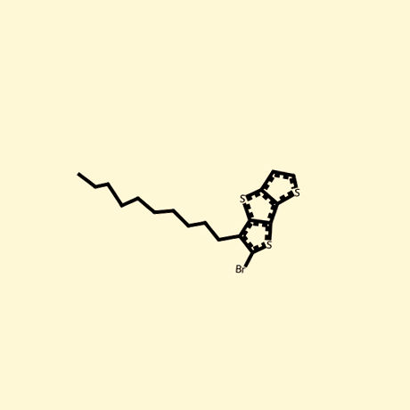 CCCCCCCCCCc1c(Br)sc2c1sc1ccsc12